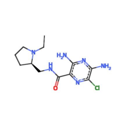 CCN1CCC[C@@H]1CNC(=O)c1nc(Cl)c(N)nc1N